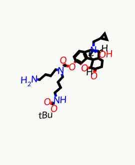 CC(C)(C)OC(=O)NCCCCN(CCCCN)C(=O)Oc1ccc2c3c1O[C@H]1C(=O)CC[C@@]4(O)[C@@H](C2)N(CC2CC2)CC[C@]314